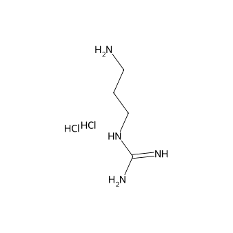 Cl.Cl.N=C(N)NCCCN